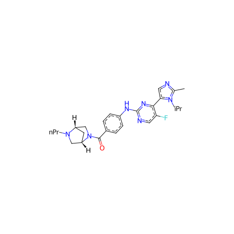 CCCN1C[C@@H]2C[C@H]1CN2C(=O)c1ccc(Nc2ncc(F)c(-c3cnc(C)n3C(C)C)n2)cc1